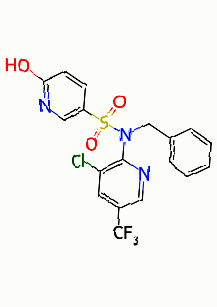 O=S(=O)(c1ccc(O)nc1)N(Cc1ccccc1)c1ncc(C(F)(F)F)cc1Cl